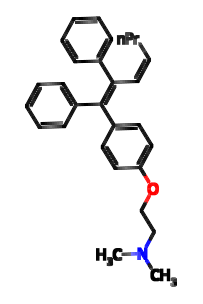 CCC/C=C\C(=C(c1ccccc1)c1ccc(OCCN(C)C)cc1)c1ccccc1